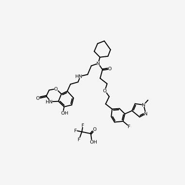 Cn1cc(-c2cc(CCOCCC(=O)N(CCNCCc3ccc(O)c4c3OCC(=O)N4)C3CCCCC3)ccc2F)cn1.O=C(O)C(F)(F)F